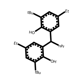 CCCC(c1cc(CC)cc(C(C)(C)C)c1O)c1cc(CC)cc(C(C)(C)C)c1O